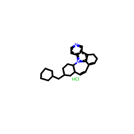 C1=CC2CC(CC3CCCCC3)CCC2n2c3c(c4cnccc42)CCC=C13.Cl